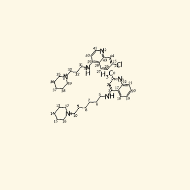 Cc1cc(NCCCCCCN2CCCCC2)c2ccccc2n1.Clc1ccc2c(NCCCN3CCCCC3)ccnc2c1